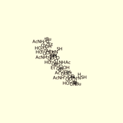 CCC1OC(OC2C(C(=O)NCNCS)OC(OC3C(O)C(CC)OC(OC4C(C(C)=O)OC(OC5C(O)C(CC)OC(C(C)(C)C)C5NC(C)=O)C(O)C4O)C3NC(C)=O)C(O)C2O)C(NC(C)=O)C(OC2OC(C(C)=O)C(OC3OC(CC)C(O)C(OC4OC(C(=O)NCNCS)C(OC(C)(C)C)C(O)C4O)C3NC(C)=O)C(O)C2O)C1O